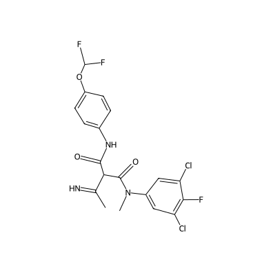 CC(=N)C(C(=O)Nc1ccc(OC(F)F)cc1)C(=O)N(C)c1cc(Cl)c(F)c(Cl)c1